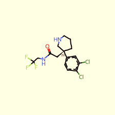 O=C(C[C@]1(c2ccc(Cl)c(Cl)c2)CCCNC1)NCC(F)(F)F